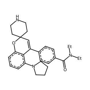 CCN(CC)C(=O)c1ccc(C2=CC3(CCNCC3)Oc3cccc(N4CCCC4)c32)cc1